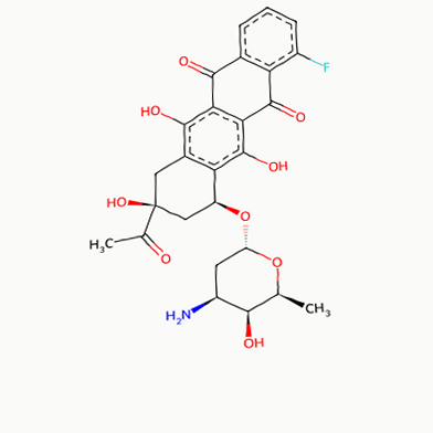 CC(=O)[C@]1(O)Cc2c(O)c3c(c(O)c2[C@@H](O[C@H]2C[C@H](N)[C@H](O)[C@H](C)O2)C1)C(=O)c1c(F)cccc1C3=O